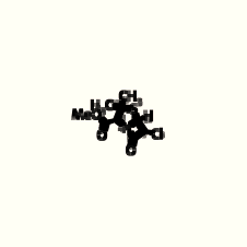 COC(=O)[C@@H]1N2C(=O)[C@H](Cl)[C@H]2SC1(C)C